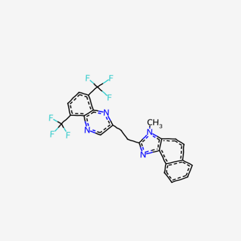 Cn1c(CCc2cnc3c(C(F)(F)F)ccc(C(F)(F)F)c3n2)nc2c3ccccc3ccc21